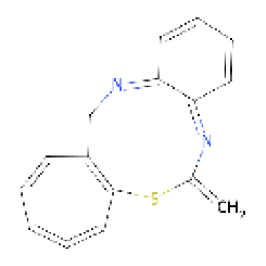 C=C1/N=c2/cccc/c2=N/CC2=C(C=C=CC=C2)S1